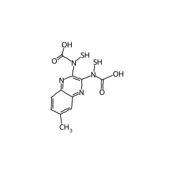 Cc1ccc2nc(N(S)C(=O)O)c(N(S)C(=O)O)nc2c1